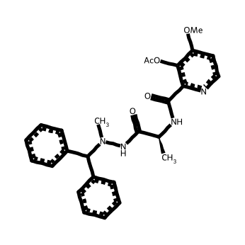 COc1ccnc(C(=O)N[C@@H](C)C(=O)NN(C)C(c2ccccc2)c2ccccc2)c1OC(C)=O